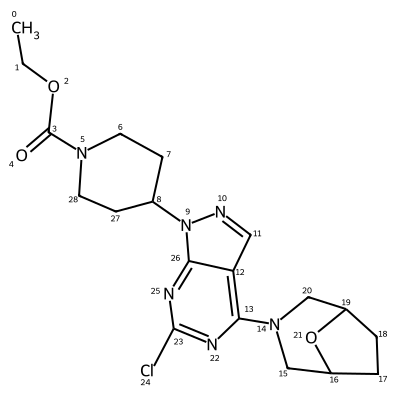 CCOC(=O)N1CCC(n2ncc3c(N4CC5CCC(C4)O5)nc(Cl)nc32)CC1